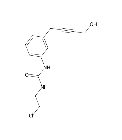 O=C(NCCCl)Nc1cccc(CC#CCO)c1